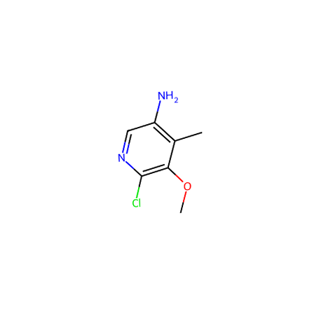 COc1c(Cl)ncc(N)c1C